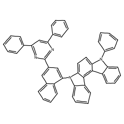 c1ccc(-c2cc(-c3ccccc3)nc(-c3cc(-n4c5ccccc5c5c6c7ccccc7n(-c7ccccc7)c6ccc54)c4ccccc4c3)n2)cc1